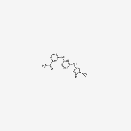 NC(=O)c1cccc(Nc2nccc(Nc3cc(C4CC4)[nH]n3)n2)c1